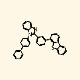 C1=C(c2ccccc2)CCC(n2c(-c3cccc(-c4cccc5c4sc4ccccc45)c3)nc3ccccc32)=C1